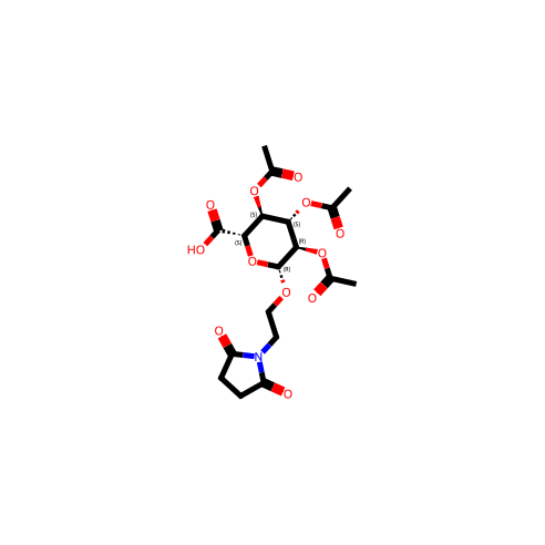 CC(=O)O[C@@H]1[C@@H](OC(C)=O)[C@H](OCCN2C(=O)CCC2=O)O[C@H](C(=O)O)[C@H]1OC(C)=O